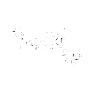 CC(C)C1=C2[C@H]3CC[C@@H]4[C@@]5(C)CC[C@@H](OC(=O)CC(C)(C)C(=O)O)C(C)(C)[C@@H]5CC[C@@]4(C)[C@]3(C)CC[C@@]2([C@@H](O)CN(Cc2cccnc2)C(=O)CN)CC1=O